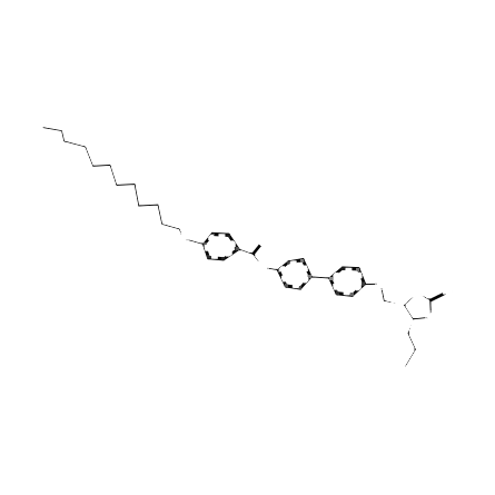 CCCCCCCCCCCCOc1ccc(C(=O)Oc2ccc(-c3ccc(OC[C@H]4OC(=O)O[C@H]4CCC)cc3)cc2)cc1